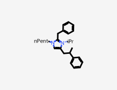 CCCCCn1cc(CC(C)c2ccccc2)[n+](C(C)C)c1Cc1ccccc1